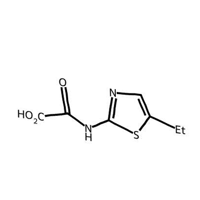 CCc1cnc(NC(=O)C(=O)O)s1